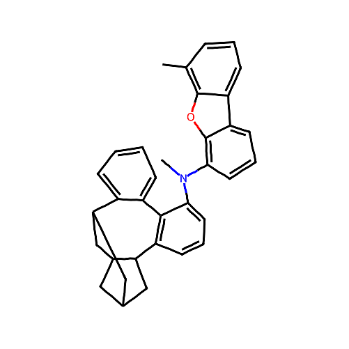 Cc1cccc2c1oc1c(N(C)c3cccc4c3-c3ccccc3C3CC5CC(C3)C4C5)cccc12